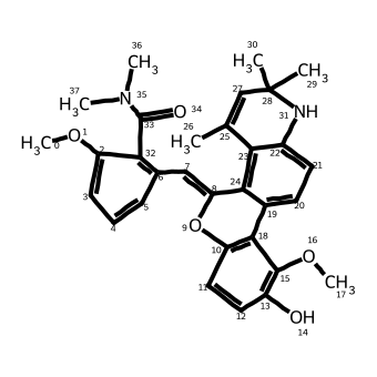 COc1cccc(/C=C2\Oc3ccc(O)c(OC)c3-c3ccc4c(c32)C(C)=CC(C)(C)N4)c1C(=O)N(C)C